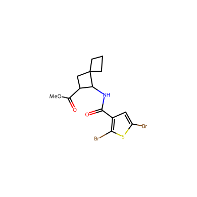 COC(=O)C1CC2(CCC2)C1NC(=O)c1cc(Br)sc1Br